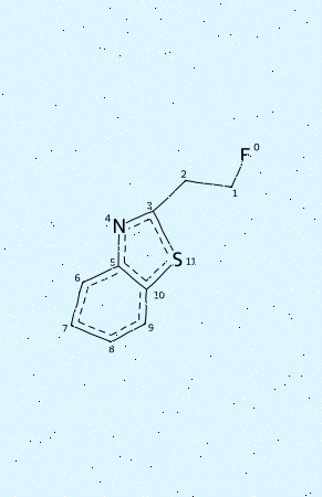 FCCc1nc2ccccc2s1